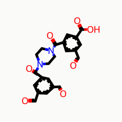 O=Cc1cc(C=O)cc(C(=O)N2CCN(C(=O)c3cc(C=O)cc(C(=O)O)c3)CC2)c1